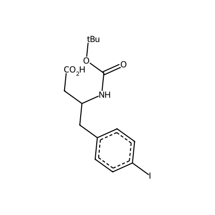 CC(C)(C)OC(=O)NC(CC(=O)O)Cc1ccc(I)cc1